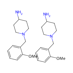 COc1ccccc1CN1CCC(N)CC1.COc1ccccc1CN1CCC(N)CC1